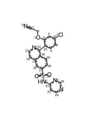 N#CCOc1cc(Cl)ccc1-c1nccc2cc(S(=O)(=O)Nc3ccncn3)ccc12